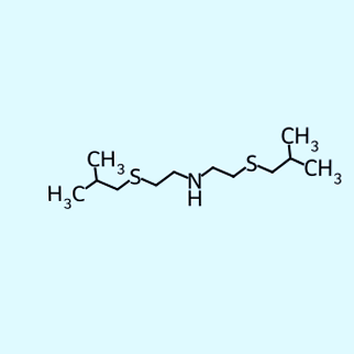 CC(C)CSCCNCCSCC(C)C